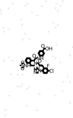 CS(=O)(=O)Nc1cccc2c1CCN(C(=O)C=Cc1c(-n3cnnn3)ccc(Cl)c1F)C2C(=O)Nc1ccc(C(=O)O)cc1